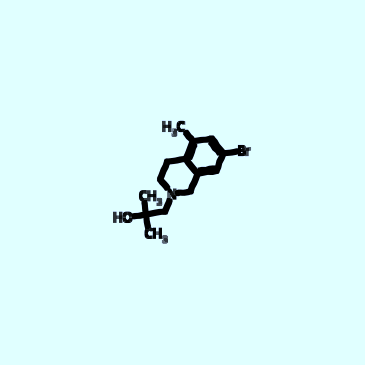 Cc1cc(Br)cc2c1CCN(CC(C)(C)O)C2